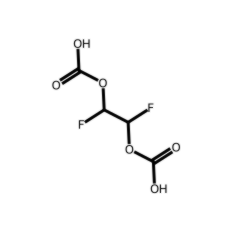 O=C(O)OC(F)C(F)OC(=O)O